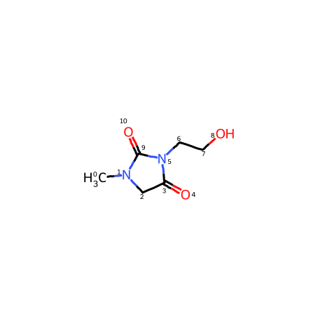 CN1CC(=O)N(CCO)C1=O